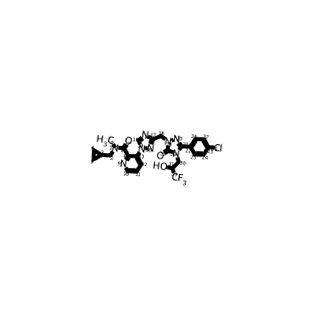 CN(CC1CC1)C(=O)c1ncccc1-n1cnc(Cn2nc(-c3ccc(Cl)cc3)n(CC(O)C(F)(F)F)c2=O)n1